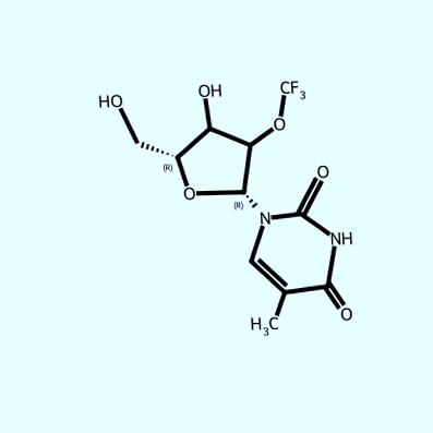 Cc1cn([C@@H]2O[C@H](CO)C(O)C2OC(F)(F)F)c(=O)[nH]c1=O